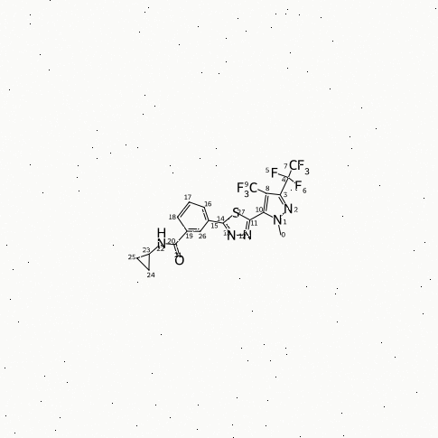 Cn1nc(C(F)(F)C(F)(F)F)c(C(F)(F)F)c1-c1nnc(-c2cccc(C(=O)NC3CC3)c2)s1